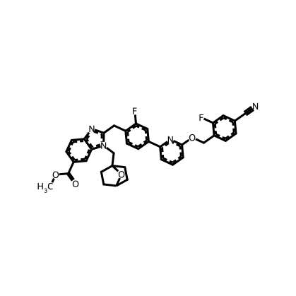 COC(=O)c1ccc2nc(Cc3ccc(-c4cccc(OCc5ccc(C#N)cc5F)n4)cc3F)n(CC34CCC(CC3)O4)c2c1